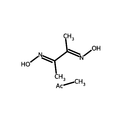 CC(=N\O)/C(C)=N/O.CC(C)=O